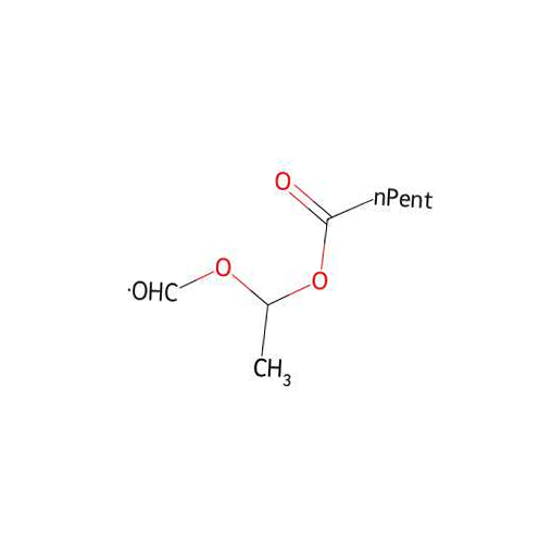 CCCCCC(=O)OC(C)O[C]=O